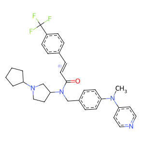 CN(c1ccncc1)c1ccc(CN(C(=O)/C=C/c2ccc(C(F)(F)F)cc2)C2CCN(C3CCCC3)C2)cc1